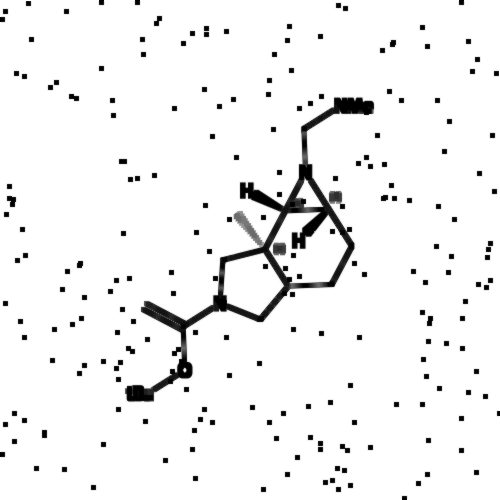 C=C(OC(C)(C)C)N1CC2CC[C@@H]3[C@@H](N3CNC)[C@]2(C)C1